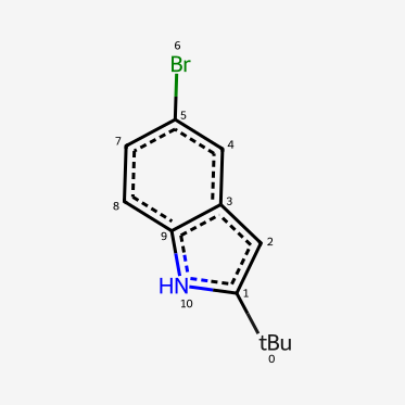 CC(C)(C)c1cc2cc(Br)ccc2[nH]1